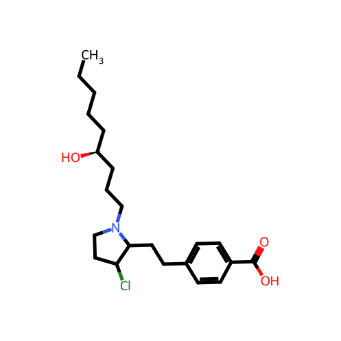 CCCCC[C@H](O)CCCN1CCC(Cl)C1CCc1ccc(C(=O)O)cc1